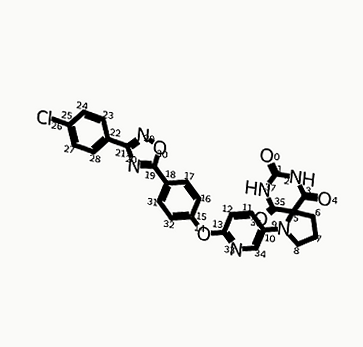 O=C1NC(=O)C2(CCCN2c2ccc(Oc3ccc(-c4nc(-c5ccc(Cl)cc5)no4)cc3)nc2)C(=O)N1